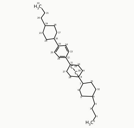 CCCCC1CCC(C23CCC(c4ccc(C5CCC(CCC)CC5)cc4)(CC2)CC3)CC1